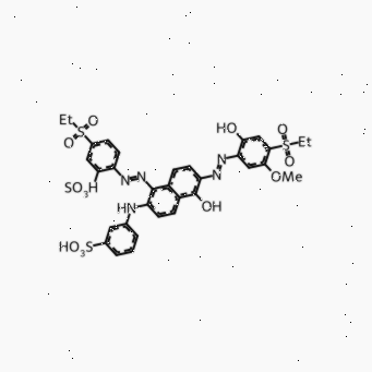 CCS(=O)(=O)c1ccc(/N=N/c2c(Nc3cccc(S(=O)(=O)O)c3)ccc3c(O)c(/N=N/c4cc(OC)c(S(=O)(=O)CC)cc4O)ccc23)c(S(=O)(=O)O)c1